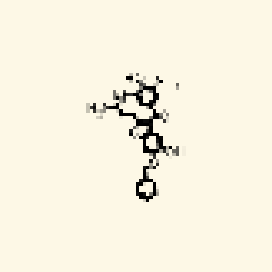 NC(=O)CCc1oc2cc(OCc3ccccc3)c(O)cc2c1C(=O)c1cc(N)c(O)c(N)c1